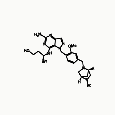 CCC[C@@H](CCO)Nc1nc(N)nc2cnn(Cc3ccc(CN4C[C@@H]5C[C@H]4CN5C(C)=O)cc3OC)c12